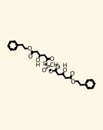 CP(=O)(OC(=O)CC(O)CC(=O)OCCc1ccccc1)OC(=O)CC(O)CC(=O)OCCc1ccccc1